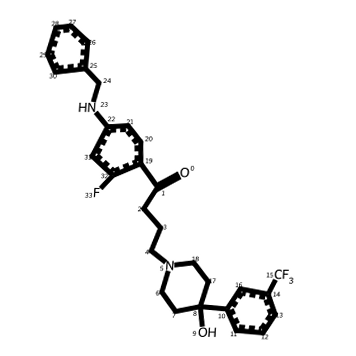 O=C(CCCN1CCC(O)(c2cccc(C(F)(F)F)c2)CC1)c1ccc(NCc2ccccc2)cc1F